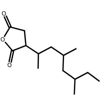 CCC(C)CC(C)CC(C)C1CC(=O)OC1=O